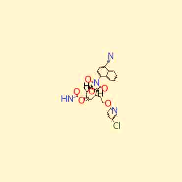 CNC(=O)O[C@H]1CC2(CCOc3ccc(Cl)cn3)OC1(C)[C@@H]1C(=O)N(c3ccc(C#N)c4ccccc34)C(=O)[C@@H]12